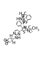 Cc1cccc(F)c1S(=O)(=O)Nc1cccc(-c2nc(N3CCC3(C)C)sc2-c2ccnc(N[C@@H]3[C@@H]4CS(=O)(=O)C[C@@H]43)n2)c1F